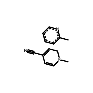 CN1C=CC(C#N)=CC1.Cc1ccccn1